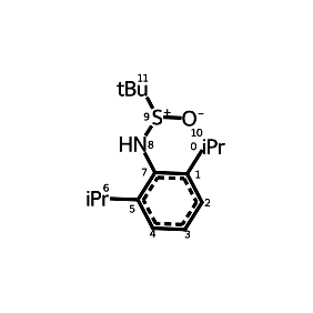 CC(C)c1cccc(C(C)C)c1N[S+]([O-])C(C)(C)C